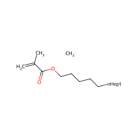 C=C(C)C(=O)OCCCCCCCCCCCC.[CH3]